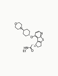 CCNC(=O)C[C@H]1CCc2sc3nccc(O[C@H]4CC[C@H](N5CCOCC5)CC4)c3c21